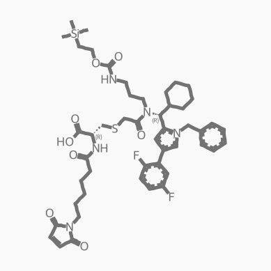 C[Si](C)(C)CCOC(=O)NCCCN(C(=O)CSC[C@H](NC(=O)CCCCCN1C(=O)C=CC1=O)C(=O)O)[C@@H](c1cc(-c2cc(F)ccc2F)cn1Cc1ccccc1)C1CCCCC1